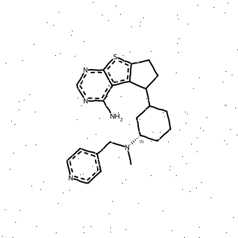 CN(Cc1ccncc1)[C@H]1CCCC(C2CCc3sc4ncnc(N)c4c32)C1